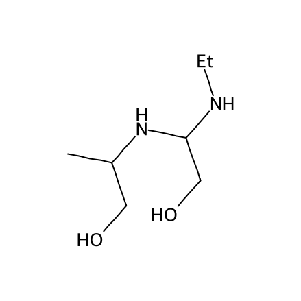 CCNC(CO)NC(C)CO